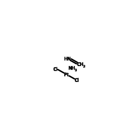 C=N.N.[Cl][Pt][Cl]